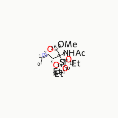 C/C=C\CC(NC(C)=O)(C(=O)OC)[Si](OCC)(OCC)OCC